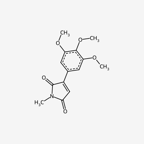 COc1cc(C2=CC(=O)N(C)C2=O)cc(OC)c1OC